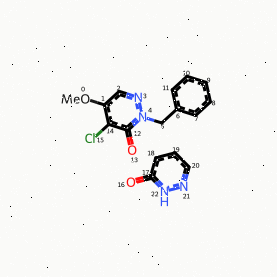 COc1cnn(Cc2ccccc2)c(=O)c1Cl.O=c1cccn[nH]1